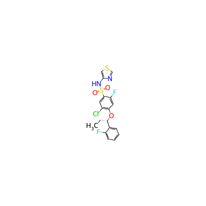 CC[C@H](Oc1cc(F)c(S(=O)(=O)Nc2cscn2)cc1Cl)c1ccccc1F